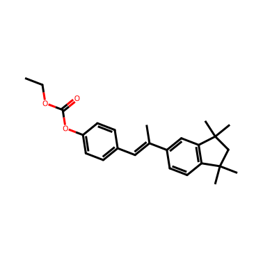 CCOC(=O)Oc1ccc(C=C(C)c2ccc3c(c2)C(C)(C)CC3(C)C)cc1